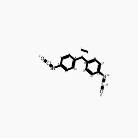 CC.O=C=Nc1ccc(Cc2ccc(N=C=O)cc2)cc1